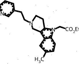 CCOC(=O)Cn1c2c(c3cc(C)ccc31)CN(CCc1cccnc1)CC2